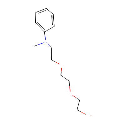 CN(CCOCCOCCO)c1ccccc1